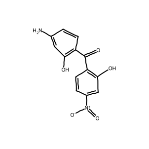 Nc1ccc(C(=O)c2ccc([N+](=O)[O-])cc2O)c(O)c1